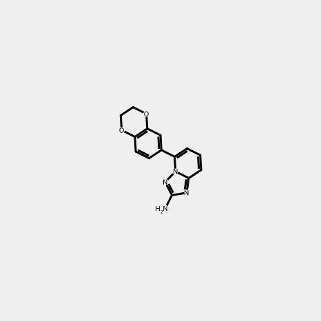 Nc1nc2cccc(-c3ccc4c(c3)OCCO4)n2n1